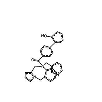 O=C(c1ccc(-c2ccccc2O)cc1)[N+]1(Cc2cccnc2)Cc2cccn2Cc2ccccc21